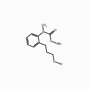 [CH2]COCCCc1ccccc1N(C)C(=O)OC(C)(C)C